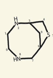 C1CNC2CSC(CN1)C2